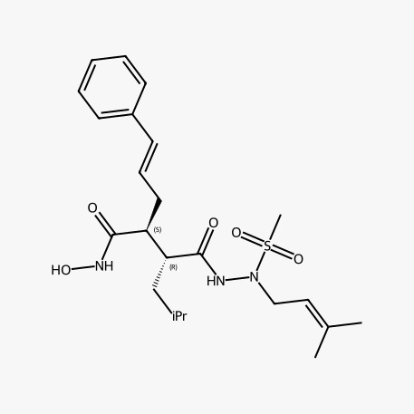 CC(C)=CCN(NC(=O)[C@H](CC(C)C)[C@H](CC=Cc1ccccc1)C(=O)NO)S(C)(=O)=O